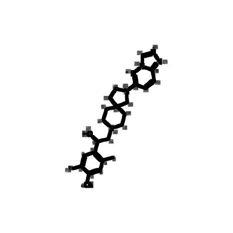 Cc1cc(C#N)c(F)cc1C(O)CN1CCC2(CC1)CCN(c1ccc3nncn3n1)C2